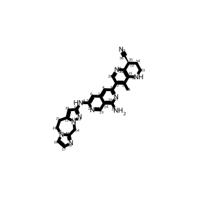 Cc1c(-c2cc3cc(Nc4cc5n(n4)Cc4nccn4CC5)ncc3c(N)n2)cnc2c1NCC[C@@H]2C#N